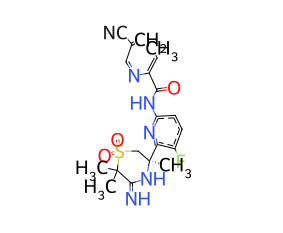 C=C(C#N)/C=N\C(=C/C)C(=O)Nc1ccc(F)c([C@]2(C)CS(=O)(=O)C(C)(C)C(=N)N2)n1